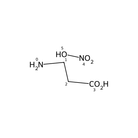 NCCC(=O)O.O=[N+]([O-])O